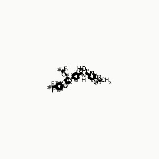 CCS(=O)(=O)c1ccc([C@H](CO)NC(=O)c2ccc(N3C[C@@H](Oc4ccc(C(F)(F)F)cc4)C[C@H]3COC(F)F)cc2)nc1